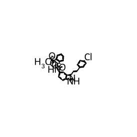 CS(=O)(=O)c1ccccc1S(=O)(=O)Nc1ccc2[nH]nc(C=Cc3ccc(Cl)cc3)c2c1